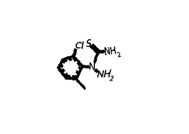 Cc1cccc(Cl)c1N(N)C(N)=S